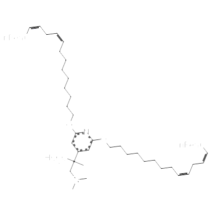 CCCCC/C=C\C/C=C\CCCCCCCCOc1cc(C(C)(CN(C)C)C(=O)O)cc(OCCCCCCCC/C=C\C/C=C\CCCCC)n1